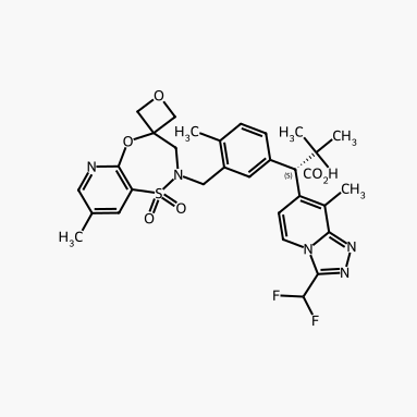 Cc1cnc2c(c1)S(=O)(=O)N(Cc1cc([C@@H](c3ccn4c(C(F)F)nnc4c3C)C(C)(C)C(=O)O)ccc1C)CC1(COC1)O2